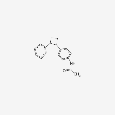 CC(=O)Nc1ccc(C2CCC2c2ccccc2)cc1